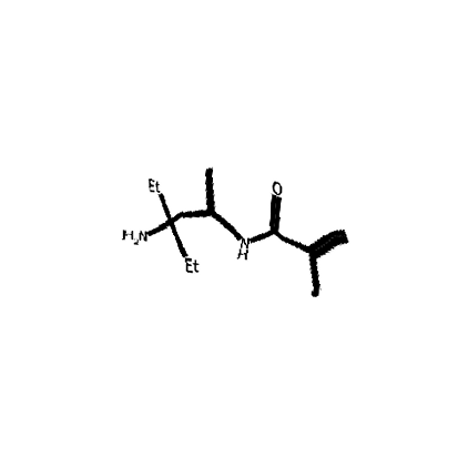 C=C(C)C(=O)NC(C)C(N)(CC)CC